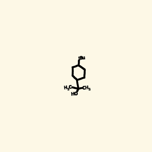 CC(C)(C)C1CCC(C(C)(C)O)CC1